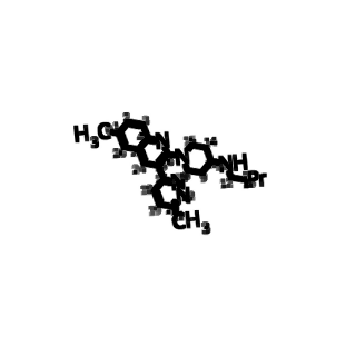 Cc1ccc2nc(N3CCC(NCC(C)C)CC3)c(-c3ccc(C)nn3)cc2c1